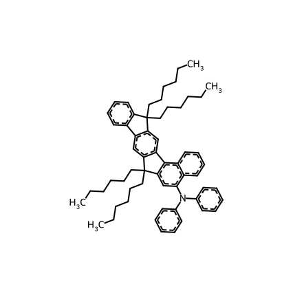 CCCCCCC1(CCCCCC)c2ccccc2-c2cc3c(cc21)-c1c(cc(N(c2ccccc2)c2ccccc2)c2ccccc12)C3(CCCCCC)CCCCCC